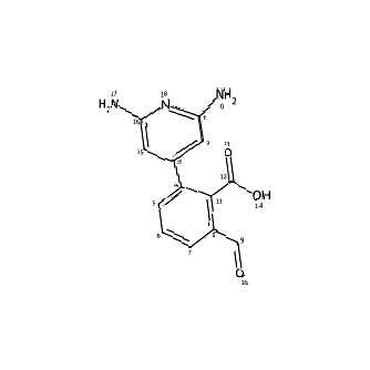 Nc1cc(-c2cccc(C=O)c2C(=O)O)cc(N)n1